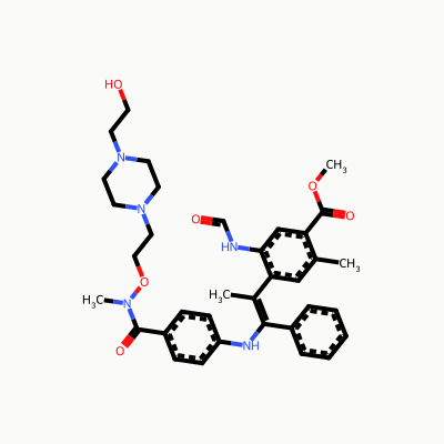 COC(=O)c1cc(NC=O)c(/C(C)=C(/Nc2ccc(C(=O)N(C)OCCN3CCN(CCO)CC3)cc2)c2ccccc2)cc1C